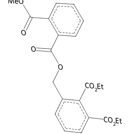 CCOC(=O)c1cccc(COC(=O)c2ccccc2C(=O)OC)c1C(=O)OCC